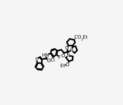 CCOC(=O)[C@H]1CC[C@H](OC(C(=O)Cc2ccc(NC(=O)c3csc4ccccc34)c(Cl)c2F)(N2CCCC2)N2CC[C@@H](OCC)C2)CC1